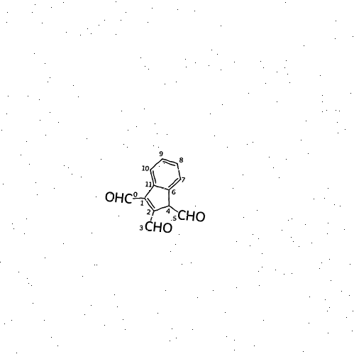 O=CC1=C(C=O)C(C=O)c2ccccc21